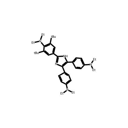 CCN(CC)c1ccc(-c2nc(-c3cc(C(C)(C)C)c(N(CC)CC)c(C(C)(C)C)c3)[nH]c2-c2ccc(N(CC)CC)cc2)cc1